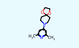 Cc1cc(N2CCC3(CC2)OCCO3)cc(C)n1